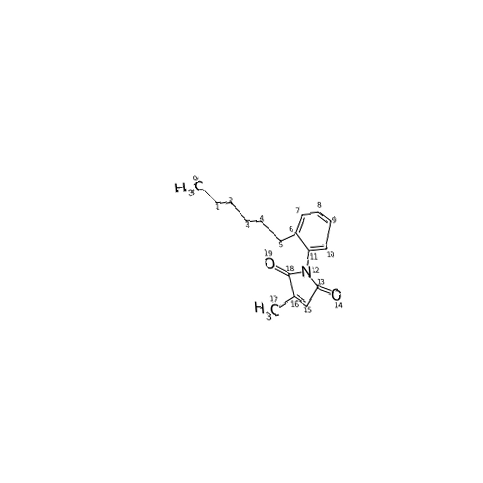 CCCCCCc1ccccc1N1C(=O)C=C(C)C1=O